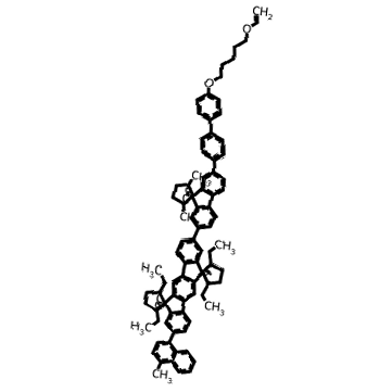 C=COCCCCCOc1ccc(-c2ccc(-c3ccc4c(c3)C3(c5cc(-c6ccc7c(c6)C6(c8cc9c(cc8-7)C7(c8cc(-c%10ccc(C)c%11ccccc%10%11)ccc8-9)C8(CC)CCC7(CC)CC8)C7(CC)CCC6(CC)CC7)ccc5-4)C4(C)CCC3(C)CC4)cc2)cc1